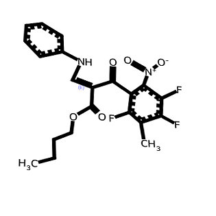 CCCCOC(=O)/C(=C/Nc1ccccc1)C(=O)c1c(F)c(C)c(F)c(F)c1[N+](=O)[O-]